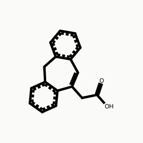 O=C(O)CC1=Cc2ccccc2Cc2ccccc21